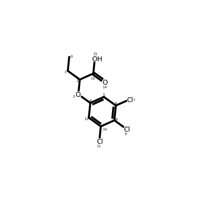 CCC(Oc1cc(Cl)c(Cl)c(Cl)c1)C(=O)O